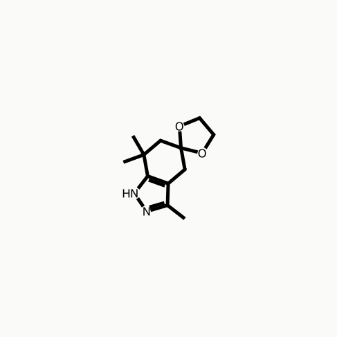 Cc1n[nH]c2c1CC1(CC2(C)C)OCCO1